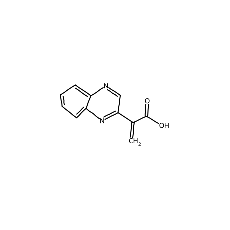 C=C(C(=O)O)c1cnc2ccccc2n1